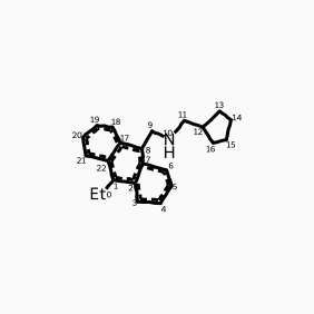 CCc1c2ccccc2c(CNCC2CCCC2)c2ccccc12